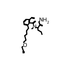 C#CCOCCCCCCc1cccc(C=C)c1C(=C)N(C)C(CCC)C(=C)CN